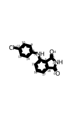 O=C1NC(=O)c2c(Nc3ccc(Cl)cc3)cccc21